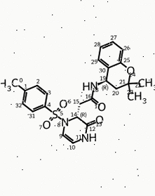 Cc1ccc(S(=O)(=O)N2C=CNC(=O)[C@H]2CC(=O)N[C@@H]2CC(C)(C)Oc3ccccc32)cc1